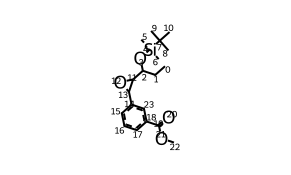 CCC(O[Si](C)(C)C(C)(C)C)C1OC1c1cccc(C(=O)OC)c1